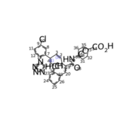 C=C(/C=C\C(=C/C)c1cc(Cl)ccc1-n1cnnn1)C(Cc1ccccc1)C(=O)NC12CCC(C(=O)O)(CC1)CC2